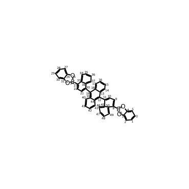 c1ccc2c(c1)OB(c1ccc(-c3c4ccccc4c(-c4ccc(B5Oc6ccccc6O5)c5ccccc45)c4ccccc34)c3ccccc13)O2